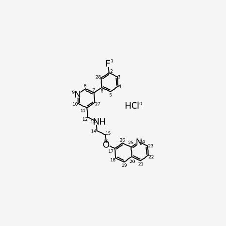 Cl.Fc1cccc(-c2cncc(CNCCOc3ccc4cccnc4c3)c2)c1